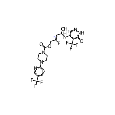 CC(/C=C(\F)COC(=O)N1CCN(c2ncc(C(F)(F)F)cn2)CC1)Nc1cn[nH]c(=O)c1C(F)(F)F